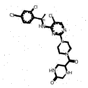 C[C@@H](Nc1nc(N2CCN(C(=O)C3CNC(=O)CN3)CC2)ncc1Cl)c1ccc(Cl)cc1Cl